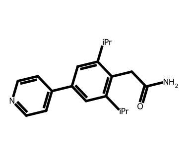 CC(C)c1cc(-c2ccncc2)cc(C(C)C)c1CC(N)=O